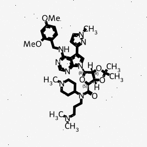 COc1ccc(CNc2ncnc3c2c(-c2ccn(C)n2)cn3[C@@H]2O[C@H](C(=O)N(CCCN(C)C)C3CCN(C)CC3)[C@H]3OC(C)(C)O[C@H]32)c(OC)c1